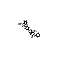 CCCCC1CN(CC2CCCCC2)C(=O)OC12CCN(C1CCN(C(=O)c3c(F)cccc3OC)CC1)CC2